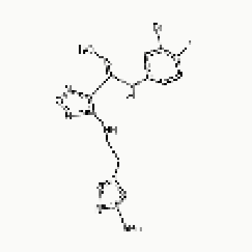 CCCCc1cn(CCNc2nonc2C(=NO)Nc2ccc(F)c(Br)c2)nn1